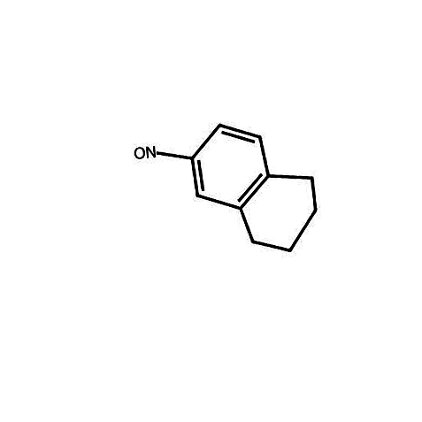 O=Nc1ccc2c(c1)CCCC2